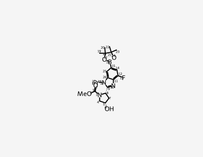 COC(=O)N1C[C@@H](O)C[C@H]1c1nc2c(F)cc(B3OC(C)(C)C(C)(C)O3)cc2n1C(C)C